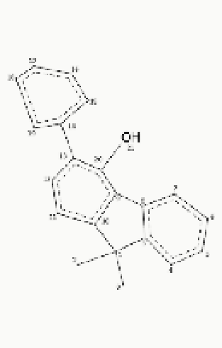 CC1(C)c2ccccc2-c2c1ccc(-c1ccccc1)c2O